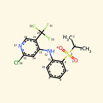 CC(C)S(=O)(=O)c1ccccc1Nc1cc(Cl)ncc1C(F)(F)F